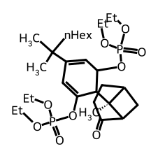 CCCCCCC(C)(C)C1=CC(OP(=O)(OCC)OCC)C([C@@]2(C)C3CCC(=O)C2C3)C(OP(=O)(OCC)OCC)=C1